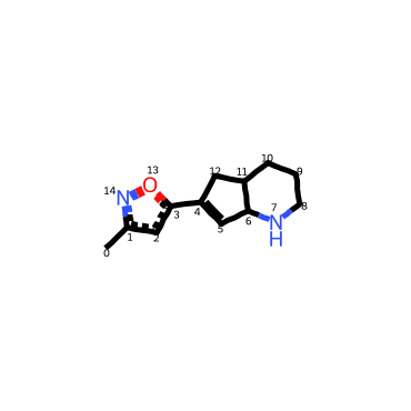 Cc1cc(C2=CC3NCCCC3C2)on1